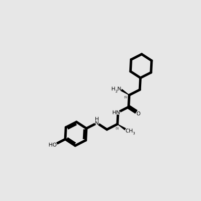 C[C@@H](CNc1ccc(O)cc1)NC(=O)[C@@H](N)CC1CCCCC1